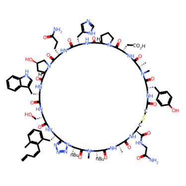 C=C/C=C\c1c(C)cccc1C[C@@H]1NC(=O)[C@H](CO)NC(=O)[C@H](Cc2c[nH]c3ccccc23)NC(=O)[C@@H]2C[C@@H](O)CN2C(=O)[C@H](CCC(N)=O)NC(=O)[C@H](Cc2cnc[nH]2)NC(=O)[C@@H]2CCCN2C(=O)[C@H](CC(=O)O)NC(=O)[C@H](C)N(C)C(=O)[C@H](Cc2ccc(O)cc2)NC(=O)CSC[C@@H](C(=O)NCC(N)=O)NC(=O)[C@H](C)NC(=O)[C@H](CCCC)N(C)C(=O)[C@H](CCCC)n2nnnc21